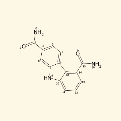 NC(=O)c1ccc2c(c1)[nH]c1cccc(C(N)=O)c12